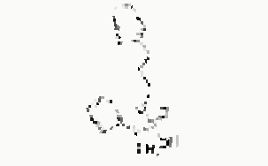 CN(c1ccccc1)P(=O)(O)OCCCc1ccccc1